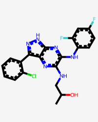 CC(O)CNc1nc2c(-c3ccccc3Cl)n[nH]c2nc1Nc1ccc(F)cc1F